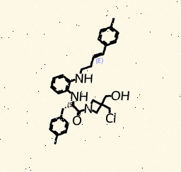 Cc1ccc(/C=C/CCNc2ccccc2N[C@@H](Cc2ccc(C)cc2)C(=O)N2CC(CO)(CCl)C2)cc1